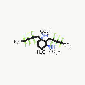 CC1CCC(CC(F)(F)C(F)(F)C(F)(F)C(F)(F)F)(NC(=O)O)C(CC(F)(F)C(F)(F)C(F)(F)C(F)(F)F)C1NC(=O)O